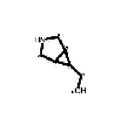 OCC1C2CNCC12